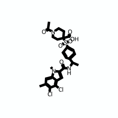 CC(=O)N1CCC(C(=O)O)(S(=O)(=O)c2ccc(C(C)NC(=O)c3cc4c(Cl)c(Cl)c(C)cc4n3C)cc2)CC1